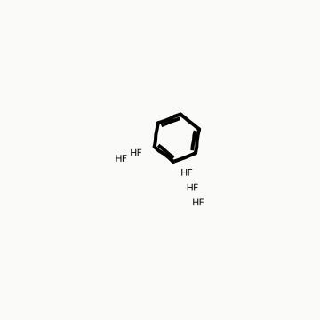 F.F.F.F.F.c1ccccc1